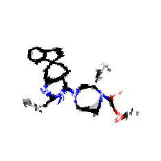 CSc1nc2c(c(N3CCN(C(=O)OC(C)(C)C)[C@@H](CC#N)C3)n1)CCC1(C=Cc3ccccc31)C2